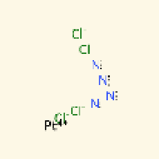 [Cl-].[Cl-].[Cl-].[Cl-].[N].[N].[N].[N].[Pt+4]